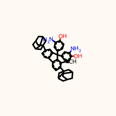 C#Cc1c(C23CC4CC(CC(C4)C2)C3)ccc2c1C(c1ccc(O)c(N)c1)(c1ccc(O)c(N)c1)c1cc(C34CC5CC(CC(C5)C3)C4)ccc1-2